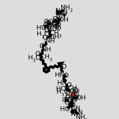 CC(C)(CCCCc1ccccc1CCCCC1(C(=O)CCNC(=O)CCNC(=O)C(O)C(C)(C)COP(=O)(O)OP(=O)(O)OCC2OC(n3cnc4c(N)ncnc43)C(O)C2OP(=O)(O)O)CC1)C(=O)CCNC(=O)CCNC(=O)C(O)C(C)(C)COP(=O)(O)OP(=O)(O)OCC1OC(n2cnc3c(N)ncnc32)C(O)C1OP(=O)(O)O